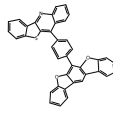 c1ccc2c(-c3ccc(-c4c5oc6ccccc6c5cc5c4oc4ccccc45)cc3)c3sc4ccccc4c3nc2c1